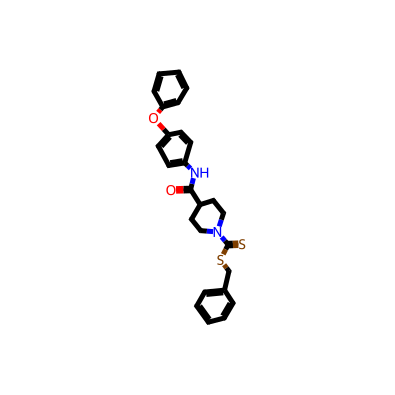 O=C(Nc1ccc(Oc2ccccc2)cc1)C1CCN(C(=S)SCc2ccccc2)CC1